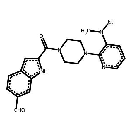 CCN(C)c1cccnc1N1CCN(C(=O)c2cc3ccc(C=O)cc3[nH]2)CC1